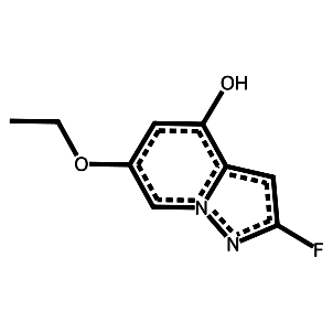 CCOc1cc(O)c2cc(F)nn2c1